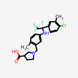 Cc1cc([C@@](F)(Nc2ccc(C)c(CN3CCC(C(=O)O)C3)c2)C(F)F)ccc1Cl